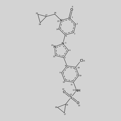 O=c1ccc(-n2cc(-c3ccc(NS(=O)(=O)C4CC4)cc3Cl)cn2)cn1CC1CC1